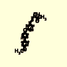 COc1ccc(-c2ccc(Oc3cncc(CCCN(C)C(C)=O)n3)cc2)nc1